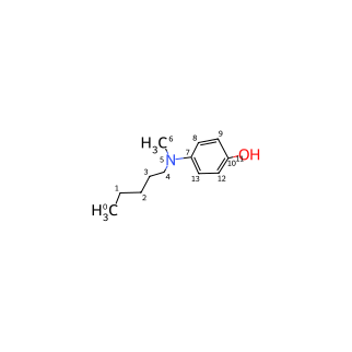 CCCCCN(C)c1ccc(O)cc1